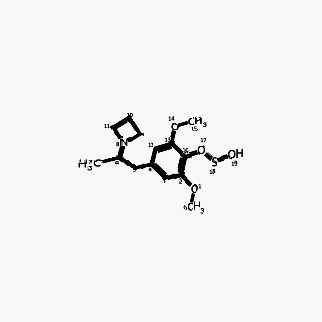 COc1cc(CC(C)N2CCC2)cc(OC)c1OSO